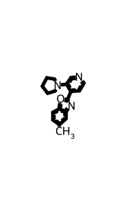 Cc1ccc2oc(-c3ccncc3N3CCCCC3)nc2c1